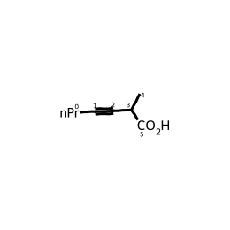 CCCC#CC(C)C(=O)O